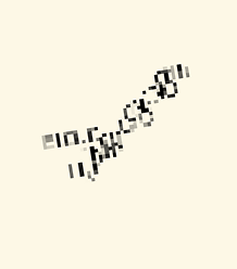 CCOC(=O)c1cc(-c2ccc3c(=O)n(C4CCN(C(=O)OC(C)(C)C)CC4)ccc3c2)nn2cc(C)nc12